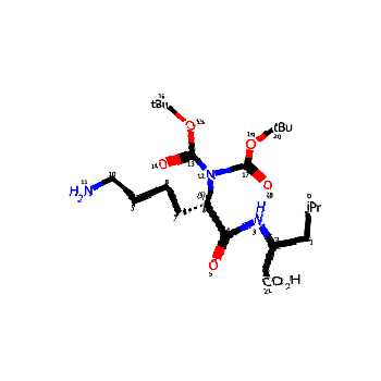 CC(C)CC(NC(=O)[C@H](CCCCN)N(C(=O)OC(C)(C)C)C(=O)OC(C)(C)C)C(=O)O